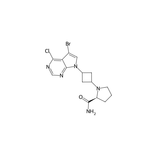 NC(=O)[C@@H]1CCCN1C1CC(n2cc(Br)c3c(Cl)ncnc32)C1